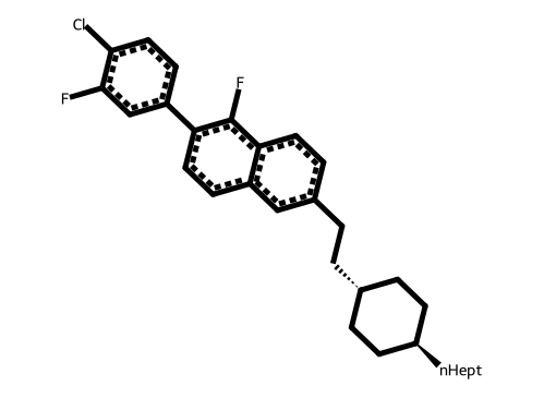 CCCCCCC[C@H]1CC[C@H](CCc2ccc3c(F)c(-c4ccc(Cl)c(F)c4)ccc3c2)CC1